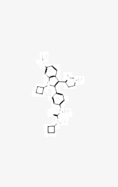 CCOc1ccc2c(C3=NNCC3)c(-c3ccc(NC(=O)NC4CCC4)cc3)n(C3CCC3)c2c1